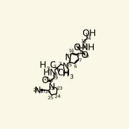 CC(C)(CNc1ccc(S(=O)(=O)NCCO)cn1)NCC(=O)N1CCCC1C#N